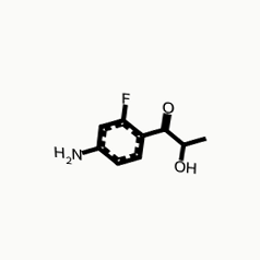 CC(O)C(=O)c1ccc(N)cc1F